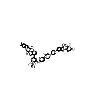 [2H]C([2H])([2H])Oc1ncc(-c2ccnc(N3CCn4c(cc5c4CC(C)(C)C5)C3=O)c2CO)cc1Nc1ccc(N2CCN(C3CCN(c4ccc5c(c4)CN(C4CCC(=O)NC4=O)C5=O)CC3)C[C@@H]2C)cn1